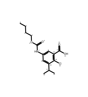 CCCCOC(=O)Nc1cc(C(=O)O)c(Cl)c(C(C)C)c1